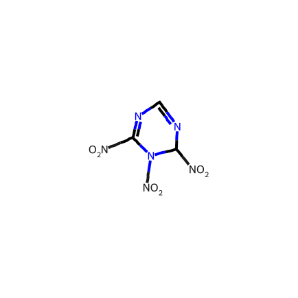 O=[N+]([O-])C1=NC=NC([N+](=O)[O-])N1[N+](=O)[O-]